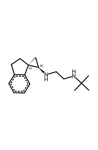 CC(C)(C)NCCN[C@@H]1C[C@]12CCc1ccccc12